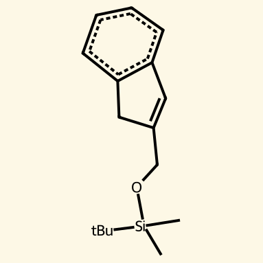 CC(C)(C)[Si](C)(C)OCC1=Cc2ccccc2C1